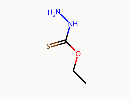 CCOC(=S)NN